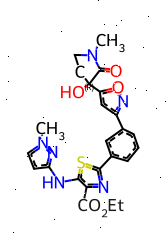 CCOC(=O)c1nc(-c2cccc(-c3cc([C@]4(O)CCN(C)C4=O)on3)c2)sc1Nc1ccn(C)n1